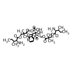 CC[C@H](C)[C@H](N)C(=O)OCC(C)(C)C(=O)OCOP(=O)(OCOC(=O)C(C)(C)COC(=O)[C@@H](N)[C@@H](C)CC)C(O)(Cc1cccnc1)P(=O)(O)O